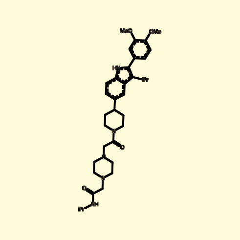 COc1ccc(-c2[nH]c3ccc(C4CCN(C(=O)CN5CCN(CC(=O)NC(C)C)CC5)CC4)cc3c2C(C)C)cc1OC